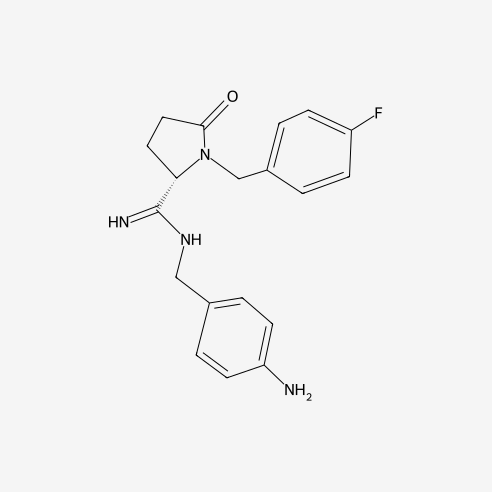 N=C(NCc1ccc(N)cc1)[C@@H]1CCC(=O)N1Cc1ccc(F)cc1